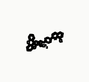 O=C(NCC(F)(F)F)C1(CCCCN2CCN(c3ccc4cccc(Cl)c4n3)CC2)c2ccccc2Oc2ccccc21